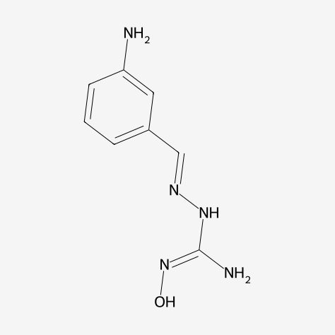 NC(=NO)NN=Cc1cccc(N)c1